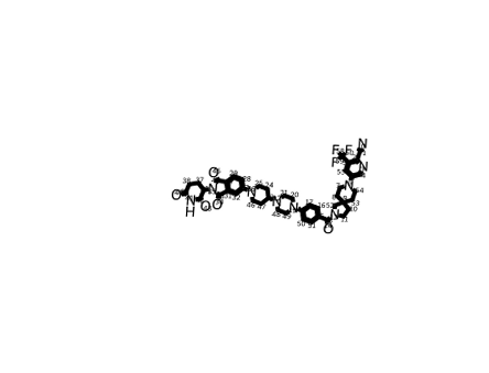 N#Cc1ncc(N2CCC3(CCN(C(=O)c4ccc(N5CCN(C6CCN(c7ccc8c(c7)C(=O)N(C7CCC(=O)NC7=O)C8=O)CC6)CC5)cc4)C3)CC2)cc1C(F)(F)F